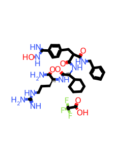 N=C(N)NCCC[C@H](NC(=O)[C@@H](NC(=O)C(Cc1ccc(C(=N)NO)cc1)C(=O)NCc1ccccc1)C1CCCCC1)C(N)=O.O=C(O)C(F)(F)F